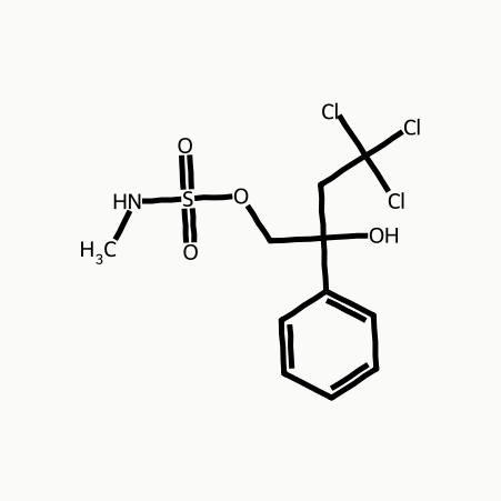 CNS(=O)(=O)OCC(O)(CC(Cl)(Cl)Cl)c1ccccc1